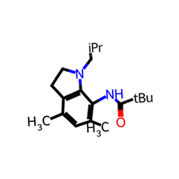 Cc1cc(C)c(NC(=O)C(C)(C)C)c2c1CCN2CC(C)C